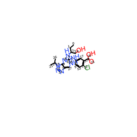 CCC(CO)NC1(Nc2ccc(Cl)c(C(=O)O)c2)N=c2c(nnn2C(C)C)=CN1